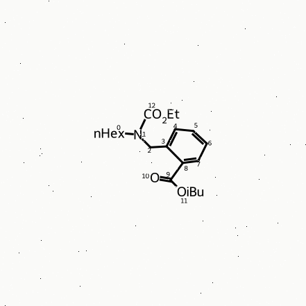 CCCCCCN(Cc1ccccc1C(=O)OCC(C)C)C(=O)OCC